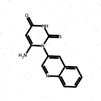 Nc1cc(=O)[nH]c(=S)n1-c1cnc2ccccc2c1